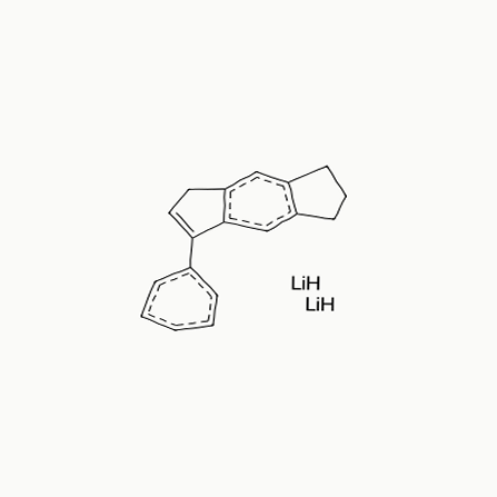 C1=C(c2ccccc2)c2cc3c(cc2C1)CCC3.[LiH].[LiH]